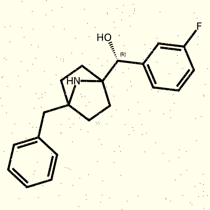 O[C@H](c1cccc(F)c1)C12CCC(Cc3ccccc3)(CC1)N2